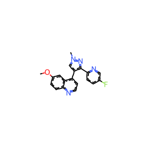 COc1ccc2nccc(-c3cn(C)nc3-c3ccc(F)cn3)c2c1